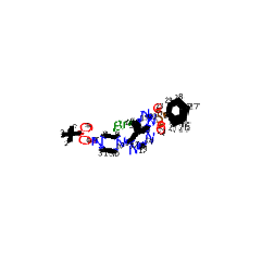 CC(C)(C)C(=O)ON1CCN(c2ncnc3c2c(Br)nn3S(=O)(=O)c2ccccc2)CC1